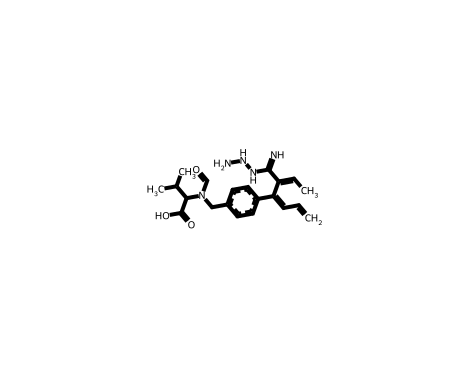 C=C/C=C(\C(=C/C)C(=N)NNN)c1ccc(CN(C=O)C(C(=O)O)C(C)C)cc1